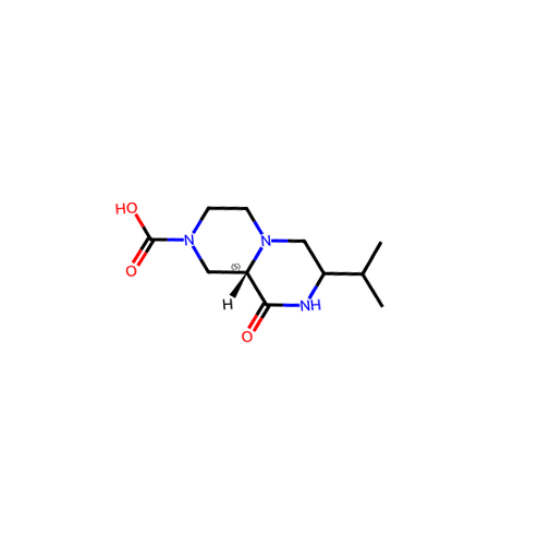 CC(C)C1CN2CCN(C(=O)O)C[C@H]2C(=O)N1